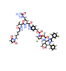 CC(C)[C@H](NC(=O)CCCCCN1C(=O)C=CC1=O)C(=O)N[C@@H](CCCNC(N)=O)C(=O)Nc1ccc(COC(=O)N2C[C@H](CN(C(=O)[C@H](C)O)[C@@H](c3nc(-c4cc(F)ccc4F)cn3Cc3ccccc3)C3CCOCC3)[C@H](F)C2)cc1